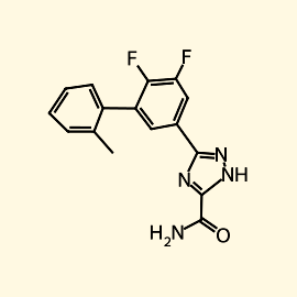 Cc1ccccc1-c1cc(-c2n[nH]c(C(N)=O)n2)cc(F)c1F